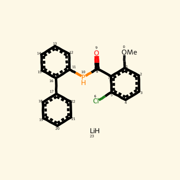 COc1cccc(Cl)c1C(=O)Pc1ccccc1-c1ccccc1.[LiH]